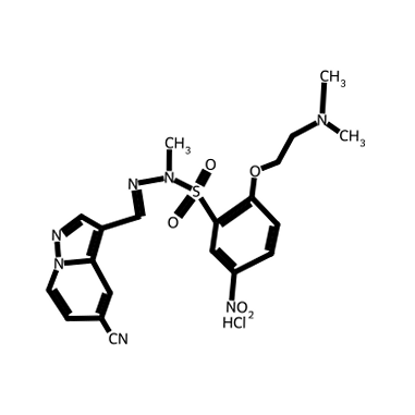 CN(C)CCOc1ccc([N+](=O)[O-])cc1S(=O)(=O)N(C)N=Cc1cnn2ccc(C#N)cc12.Cl